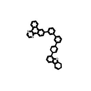 C1=Cc2c(oc3c(C4C=CC(c5cccc(-c6cccc(-c7ccc8c(c7)c7ccccc7c7nccnc87)c6)c5)=CC4)cccc23)CC1